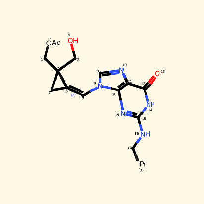 CC(=O)OCC1(CO)C/C1=C/n1cnc2c(=O)[nH]c(NCC(C)C)nc21